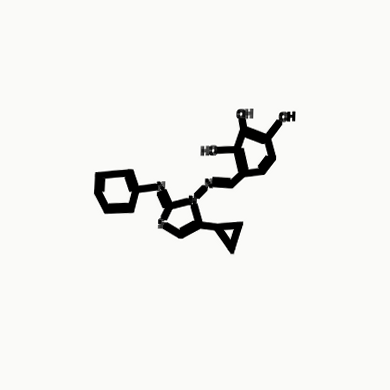 Oc1ccc(/C=N/n2c(C3CC3)cs/c2=N\c2ccccc2)c(O)c1O